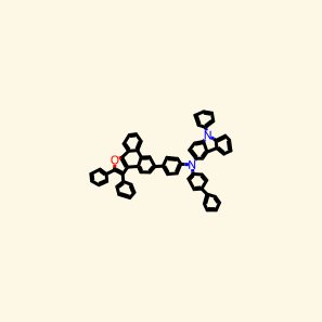 c1ccc(-c2ccc(N(c3ccc(-c4ccc5c(c4)c4ccccc4c4oc(-c6ccccc6)c(-c6ccccc6)c54)cc3)c3ccc4c(c3)c3ccccc3n4-c3ccccc3)cc2)cc1